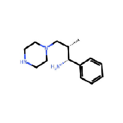 C[C@@H](CN1CCNCC1)[C@@H](N)c1ccccc1